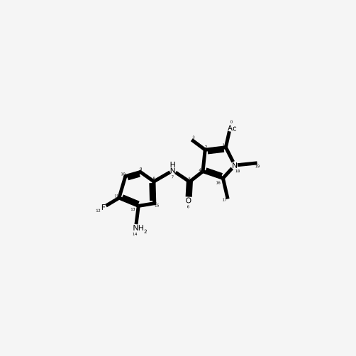 CC(=O)c1c(C)c(C(=O)Nc2ccc(F)c(N)c2)c(C)n1C